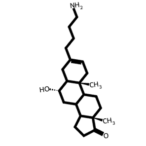 C[C@]12CC=C(CCCCN)CC1[C@@H](O)CC1C2CC[C@]2(C)C(=O)CCC12